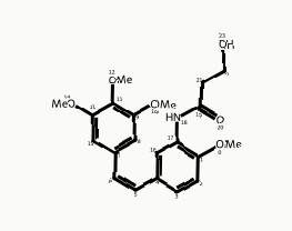 COc1ccc(/C=C\c2cc(OC)c(OC)c(OC)c2)cc1NC(=O)CCO